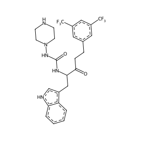 O=C(NC(Cc1c[nH]c2ccccc12)C(=O)CCc1cc(C(F)(F)F)cc(C(F)(F)F)c1)NN1CCNCC1